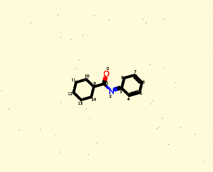 O=C(N=C1[C]=CC=[C]C1)C1CCCCC1